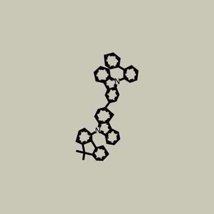 CC1(C)c2ccccc2-c2c(-n3c4ccccc4c4cc(-c5ccc6c(c5)c5ccccc5n6-c5ccccc5-c5ccccc5)ccc43)cccc21